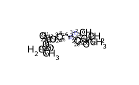 C=C/C=C\C(=C/Cc1ccc(OCC2(COC(=O)C(=C)C)COC2)cc1)c1cccc(OC(=O)C(=C)C)c1